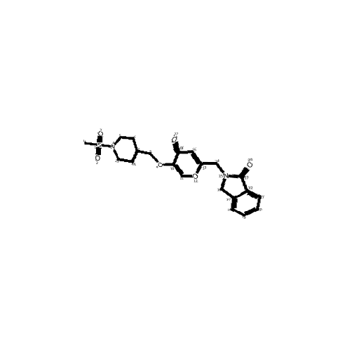 CS(=O)(=O)N1CCC(COc2coc(CN3Cc4ccccc4C3=O)cc2=O)CC1